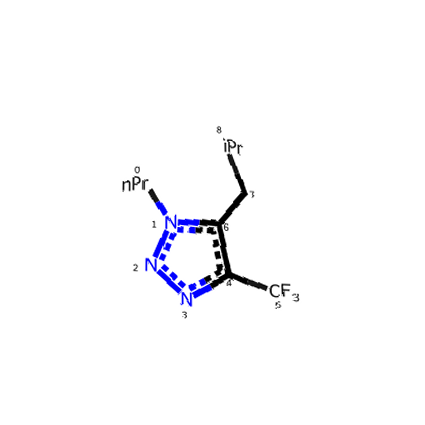 CCCn1nnc(C(F)(F)F)c1CC(C)C